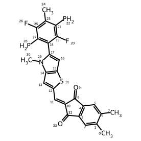 Cc1cc2c(cc1C)C(=O)C(=Cc1cc3c(cc(-c4c(F)c(P)c(C)c(F)c4P)n3C)s1)C2=O